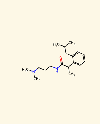 CC(C)Cc1ccccc1C(C)C(=O)NCCCN(C)C